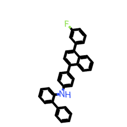 Fc1cccc(-c2ccc(-c3ccc(Nc4ccccc4-c4ccccc4)cc3)c3ccccc23)c1